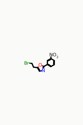 O=[N+]([O-])c1cccc(-c2ncc(CCBr)o2)c1